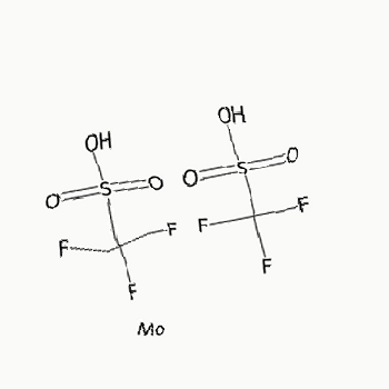 O=S(=O)(O)C(F)(F)F.O=S(=O)(O)C(F)(F)F.[Mo]